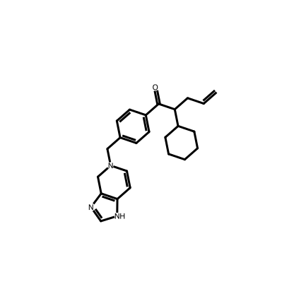 C=CCC(C(=O)c1ccc(CN2C=Cc3[nH]cnc3C2)cc1)C1CCCCC1